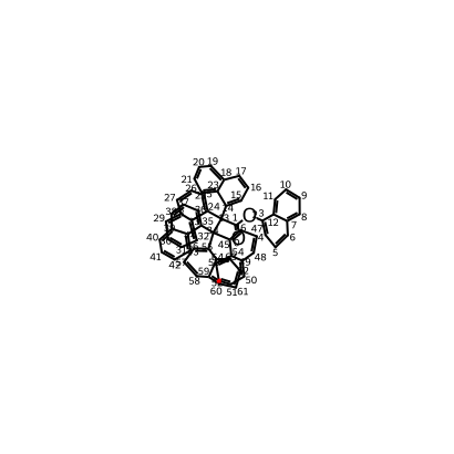 O=C(Oc1cccc2ccccc12)C(c1cccc2ccccc12)(c1cccc2ccccc12)C(c1cccc2ccccc12)(c1cccc2ccccc12)c1cccc2ccccc12